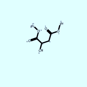 CC(C)OC(=O)CC(C#N)C(=O)OC(C)C